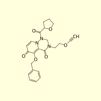 C#COCCN1CN(C(=O)C2CCCO2)n2ccc(=O)c(OCc3ccccc3)c2C1=O